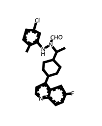 Cc1ccc(Cl)cc1NN(C=O)C(C)C1CCC(c2ccnc3ccc(F)cc23)CC1